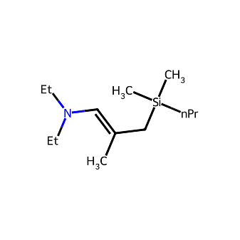 CCC[Si](C)(C)CC(C)=CN(CC)CC